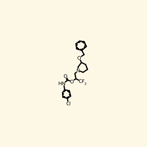 O=C(Nc1ccc(Cl)cc1)OC(CN1CCCC(OCc2ccccc2)C1)C(F)(F)F